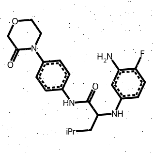 CC(C)CC(Nc1ccc(F)c(N)c1)C(=O)Nc1ccc(N2CCOCC2=O)cc1